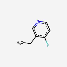 CCc1cnccc1F